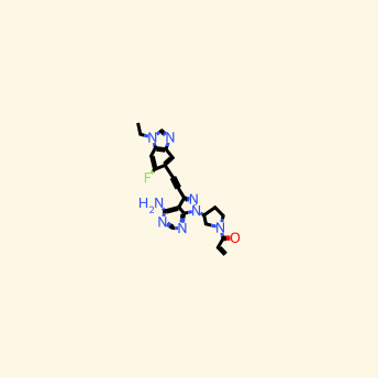 C=CC(=O)N1CCC(n2nc(C#Cc3cc4ncn(CC)c4cc3F)c3c(N)ncnc32)C1